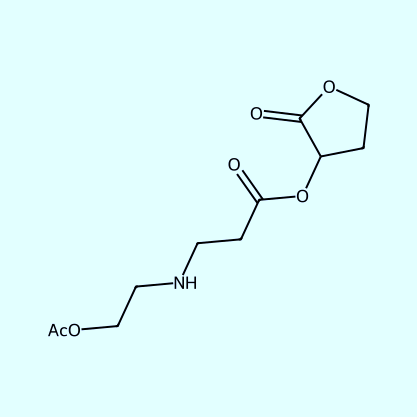 CC(=O)OCCNCCC(=O)OC1CCOC1=O